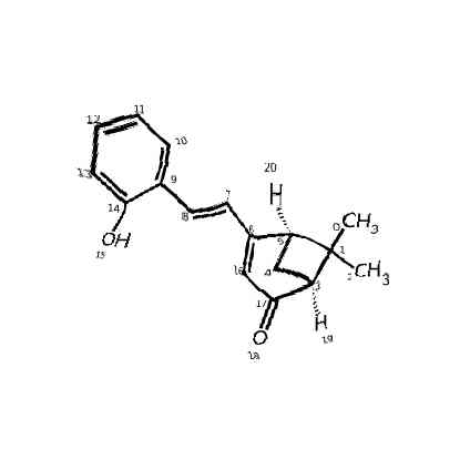 CC1(C)[C@@H]2C[C@H]1C(/C=C/c1ccccc1O)=CC2=O